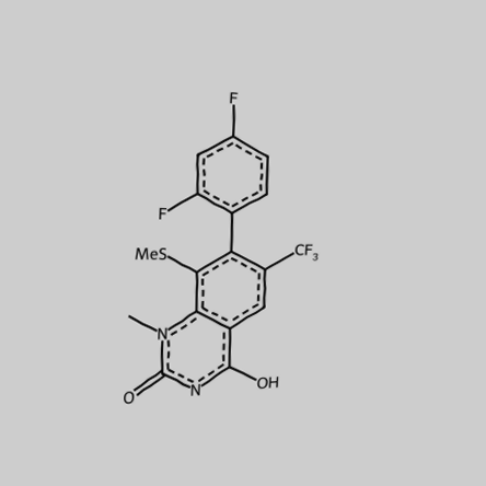 CSc1c(-c2ccc(F)cc2F)c(C(F)(F)F)cc2c(O)nc(=O)n(C)c12